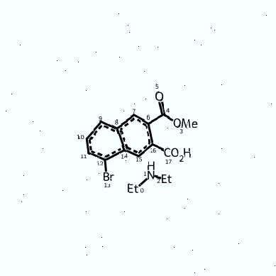 CCNCC.COC(=O)c1cc2cccc(Br)c2cc1C(=O)O